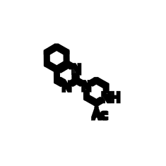 CC(=O)[C@@H]1CN(c2ncc3c(n2)CCCC3)CCN1